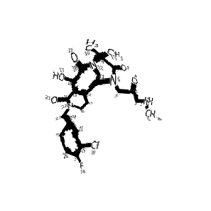 CNCC(=O)CN1C(=O)C(C)(C)n2c1c1c(c(O)c2=O)C(=O)N(Cc2ccc(F)c(Cl)c2)CC1